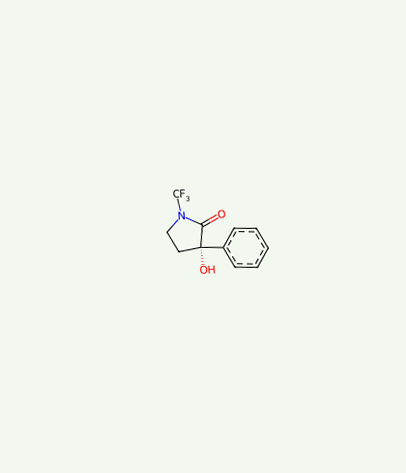 O=C1N(C(F)(F)F)CC[C@]1(O)c1ccccc1